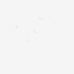 COc1cnc(C)c(C)c1.CS(=O)(=O)O